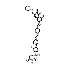 O=C1CCC(Nc2ccc(N3CCN(CCN4CCC(COc5cc(F)c6c(=O)[nH]c(CSC7CCCCC7)nc6c5)CC4)CC3)c(F)c2)C(=O)N1